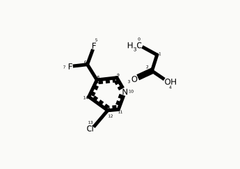 CCC(=O)O.FC(F)c1cncc(Cl)c1